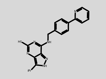 CC(C)c1[nH]nc2c(NCc3ccc(-c4ccccn4)cc3)nc(S)nc12